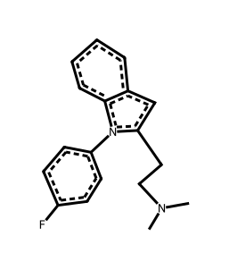 CN(C)CCc1cc2ccccc2n1-c1ccc(F)cc1